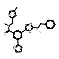 Cc1csc(CN(C)C(=O)c2cc(-c3ncco3)cc(-c3nnc([C@@H](C)Cc4ccccc4)o3)c2)n1